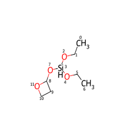 CCO[SiH](OCC)OC1CCO1